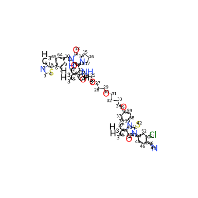 Cc1ncsc1-c1ccc(CNC(=O)[C@@H]2CCCN2C(=O)C(NC(=O)COCCCOCCCCOc2ccc(N3C(=S)N(c4ccc(C#N)c(Cl)c4)C(=O)C3(C)C)cc2)C(C)(C)C)cc1